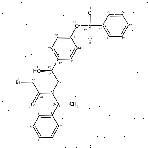 C[C@H](c1ccccc1)N(C[C@@H](O)c1ccc(OS(=O)(=O)c2ccccc2)cc1)C(=O)CBr